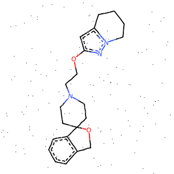 c1ccc2c(c1)COC21CCN(CCOc2cc3n(n2)CCCC3)CC1